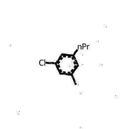 [CH2]c1cc(Cl)cc(CCC)c1